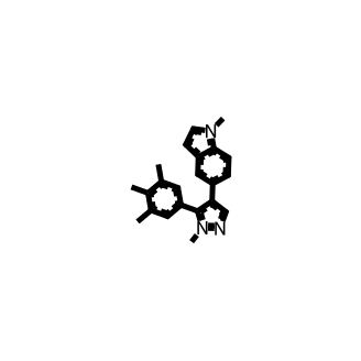 Cc1cc(-c2c(-c3ccc4c(ccn4C)c3)cnn2C)cc(C)c1C